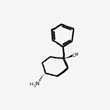 N#C[C@]1(c2ccccc2)CC[C@@H](N)CC1